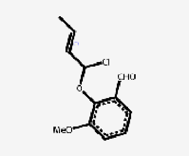 C/C=C/C(Cl)Oc1c(C=O)cccc1OC